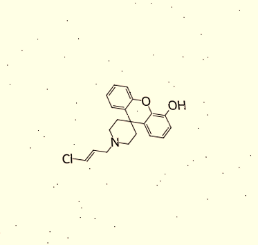 Oc1cccc2c1Oc1ccccc1C21CCN(CC=CCl)CC1